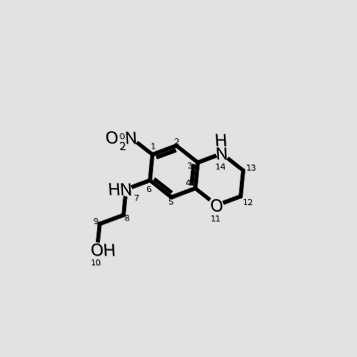 O=[N+]([O-])c1cc2c(cc1NCCO)OCCN2